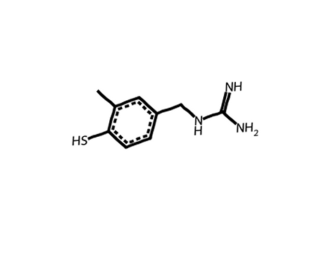 Cc1cc(CNC(=N)N)ccc1S